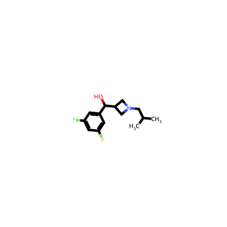 C[C](C)CN1CC(C(O)c2cc(F)cc(F)c2)C1